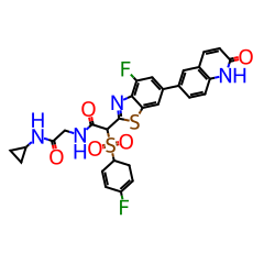 O=C(CNC(=O)C(c1nc2c(F)cc(-c3ccc4[nH]c(=O)ccc4c3)cc2s1)S(=O)(=O)C1C=CC(F)=CC1)NC1CC1